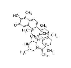 C=C(N1CC(C)NC(C)C1)[C@]1(C)CC[C@]2(C)CC[C@]3(C)C4=CC=C5C(=CC(=O)C(O)=C5C)[C@]4(C)CC[C@@]3(C)[C@@H]2C1